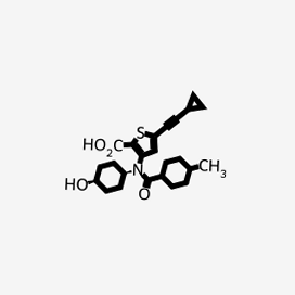 CC1CCC(C(=O)N(c2cc(C#CC3CC3)sc2C(=O)O)[C@H]2CC[C@H](O)CC2)CC1